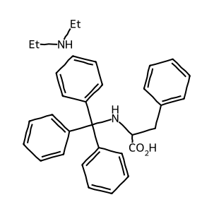 CCNCC.O=C(O)C(Cc1ccccc1)NC(c1ccccc1)(c1ccccc1)c1ccccc1